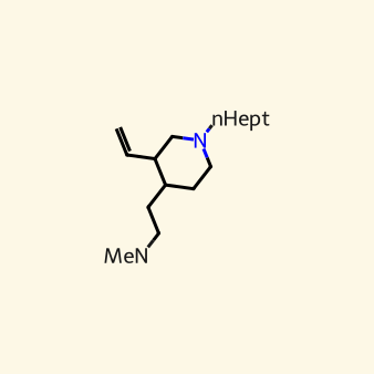 C=CC1CN(CCCCCCC)CCC1CCNC